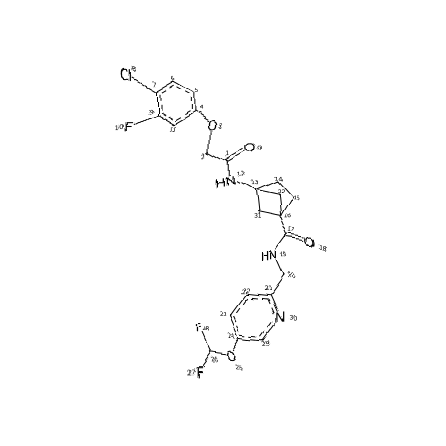 O=C(COc1ccc(Cl)c(F)c1)NC12CCC(C(=O)NCc3ccc(OC(F)F)cn3)(C1)C2